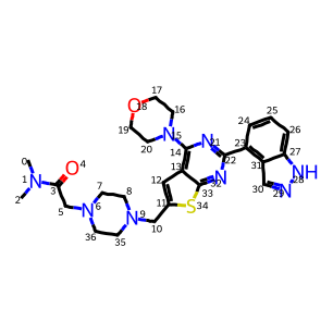 CN(C)C(=O)CN1CCN(Cc2cc3c(N4CCOCC4)nc(-c4cccc5[nH]ncc45)nc3s2)CC1